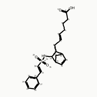 O=C(O)CCCC=CCC1C2C=CC(C2)C1NS(=O)(=O)C=Cc1ccccc1